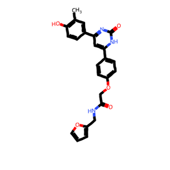 Cc1cc(-c2cc(-c3ccc(OCC(=O)NCc4ccco4)cc3)[nH]c(=O)n2)ccc1O